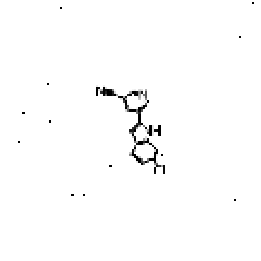 N#Cc1cncc(-c2cc3ccc(Cl)cc3[nH]2)c1